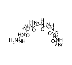 C=C(Br)C(=O)Nc1cn(C)c(C(=O)Nc2cc(C(=O)Nc3cc(C(=O)Nc4cc(C(=O)NCCC(=N)N)n(C)n4)n(C)c3)n(C)c2)n1